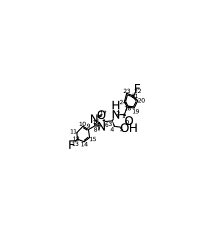 O=C(N[C@@H](CO)c1nc(C2=CCC(F)C=C2)no1)c1ccc(F)cc1